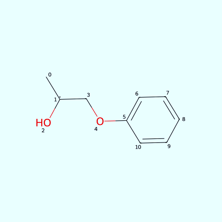 C[C](O)COc1ccccc1